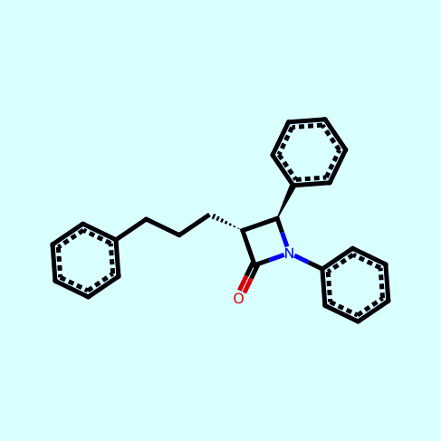 O=C1[C@H](CCCc2ccccc2)[C@@H](c2ccccc2)N1c1ccccc1